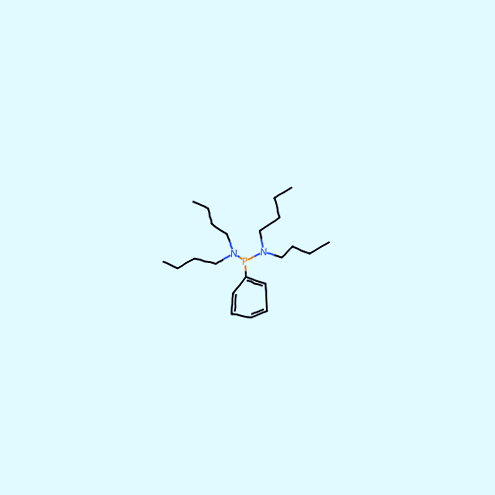 CCCCN(CCCC)P(c1ccccc1)N(CCCC)CCCC